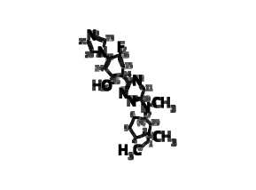 CC[C@@]1(C)CCC[C@@H](N(C)c2cnc(-c3cc(F)c(-n4ccnc4)cc3O)nn2)C1